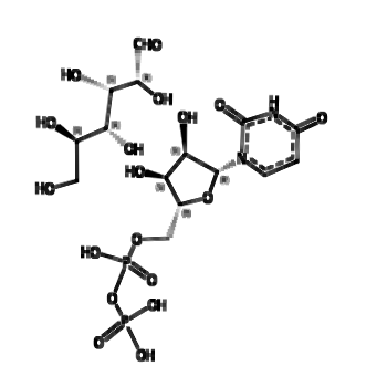 O=C[C@H](O)[C@@H](O)[C@H](O)[C@H](O)CO.O=c1ccn([C@@H]2O[C@H](COP(=O)(O)OP(=O)(O)O)[C@@H](O)[C@H]2O)c(=O)[nH]1